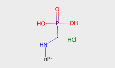 CCCNCP(=O)(O)O.Cl